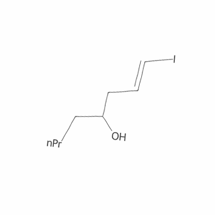 CCCCC(O)CC=CI